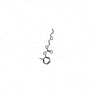 CCCOCCOC(=O)Oc1ccccc1C